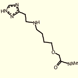 CNC(=O)COCCCCNCCc1nc[nH]n1